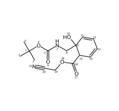 CC(C)(C)OC(=O)NCC1(O)C=CC=CC1C(=O)OCC#N